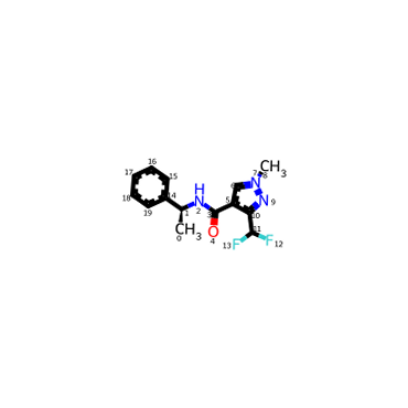 C[C@H](NC(=O)c1cn(C)nc1C(F)F)c1ccccc1